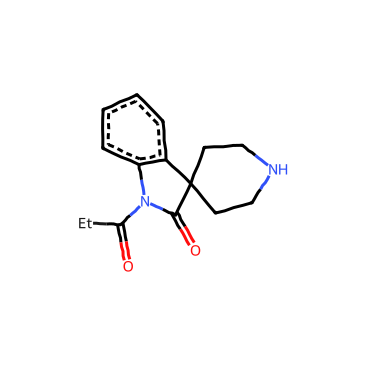 CCC(=O)N1C(=O)C2(CCNCC2)c2ccccc21